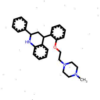 CN1CCN(CCOc2ccccc2C2CC(c3ccccc3)Nc3ccccc32)CC1